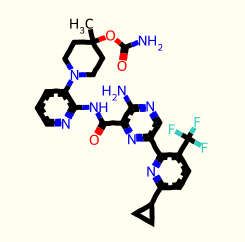 CC1(OC(N)=O)CCN(c2cccnc2NC(=O)c2nc(-c3nc(C4CC4)ccc3C(F)(F)F)cnc2N)CC1